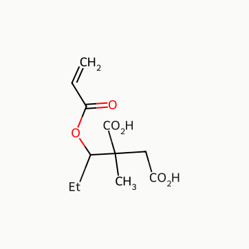 C=CC(=O)OC(CC)C(C)(CC(=O)O)C(=O)O